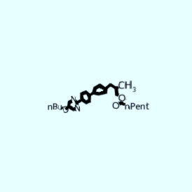 CCCCCC(=O)OCC(C)Cc1ccc(-c2ccc(-c3ncc(OCCCC)cn3)cc2)cc1